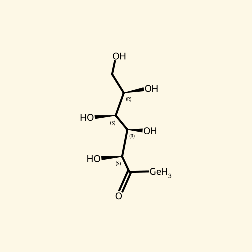 O=[C]([GeH3])[C@@H](O)[C@H](O)[C@@H](O)[C@H](O)CO